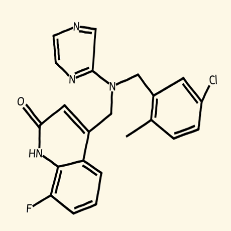 Cc1ccc(Cl)cc1CN(Cc1cc(=O)[nH]c2c(F)cccc12)c1cnccn1